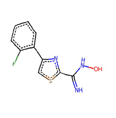 N=C(NO)c1nc(-c2ccccc2F)cs1